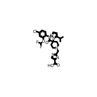 CC(C)c1ccnn1C1(C(=O)Nc2ccc(Cl)cc2OC(F)F)CCN(Cc2nc(C(=O)O)cs2)CC1